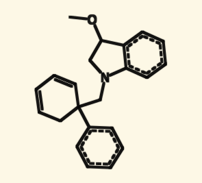 COC1CN(CC2(c3ccccc3)C=CC=CC2)c2ccccc21